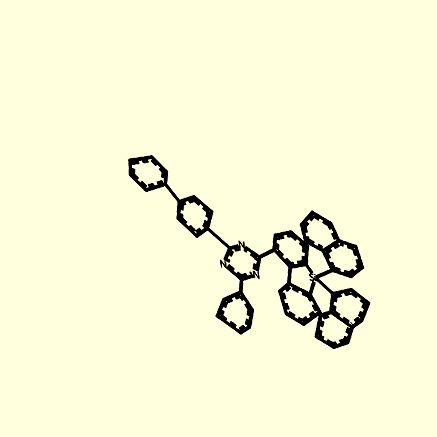 c1ccc(-c2ccc(-c3nc(-c4ccccc4)nc(-c4cccc5c4-c4ccccc4[Si]5(c4cccc5ccccc45)c4cccc5ccccc45)n3)cc2)cc1